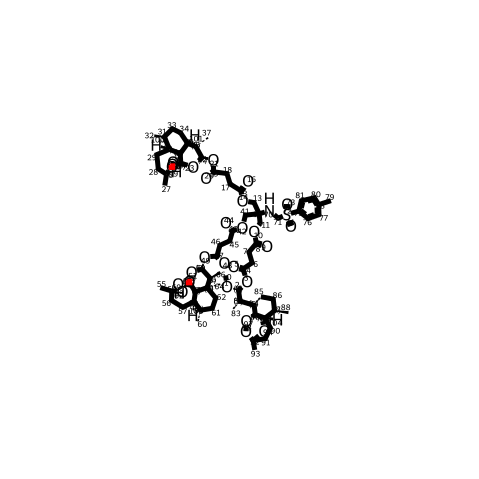 CO[C@H](OC(=O)CCC(=O)OCC(COC(=O)CCC(=O)O[C@H]1O[C@H]2OC3(C)CC[C@@H]4[C@@H](C)CC[C@H]([C@@H]1C)[C@]24OO3)(COC(=O)CCC(=O)O[C@H]1O[C@H]2OC3(C)CC[C@@H]4[C@@H](C)CC[C@](C)([C@@H]1C)[C@]24OO3)NCS(=O)(=O)c1ccc(C)cc1)[C@@H](C)[C@@H]1CC[C@@H](C)[C@@H]2CCC3(C)OC[C@]12OO3